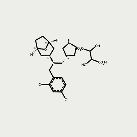 Clc1ccc(CN(C[C@H]2CCNC2)[C@H]2C[C@H]3CC[C@@H](C2)O3)c(Cl)c1.O=C(O)C(O)C(O)C(=O)O